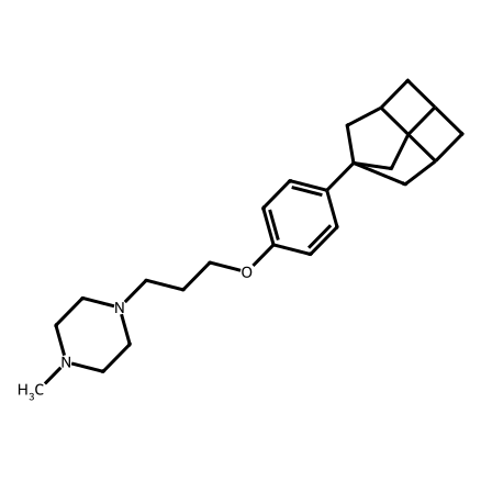 CN1CCN(CCCOc2ccc(C34CC5CC6CC(C3)C65C4)cc2)CC1